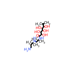 C=C(C)C(O)[C@H](O)[C@@H](O)[C@@H](O)[C@H](O)C(=O)NC(C)(C)CNC(C)(C)CCN